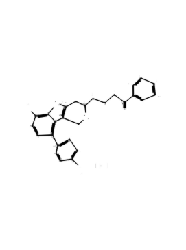 Cl.O=C(CCCC1Cc2[nH]c3c(F)ccc(-c4ccc(F)cc4)c3c2CN1)c1ccccc1